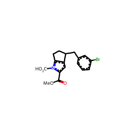 COC(=O)c1cc2c(n1C(=O)O)CCC2Cc1cccc(Br)c1